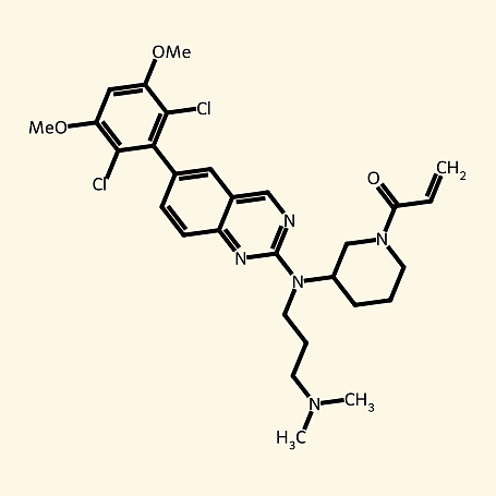 C=CC(=O)N1CCCC(N(CCCN(C)C)c2ncc3cc(-c4c(Cl)c(OC)cc(OC)c4Cl)ccc3n2)C1